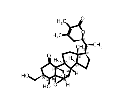 CC1=C(C)C(=O)O[C@@H]([C@@H](C)[C@H]2CC[C@H]3[C@@H]4C[C@H]5O[C@]56[C@@H](O)[C@@H](CO)CC(=O)[C@]6(CO)[C@H]4CC[C@]23C)C1